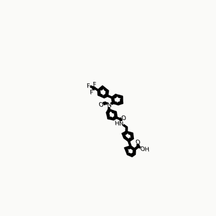 O=CN(c1cccc(C(=O)NCc2ccc(-c3ccccc3C(=O)O)cc2)c1)c1ccccc1-c1ccc(C(F)(F)F)cc1